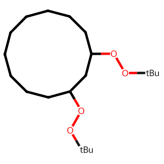 CC(C)(C)OOC1CCCCCCCCCC(OOC(C)(C)C)C1